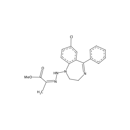 COC(=O)C(C)=NNN1CCN=C(c2ccccc2)c2cc(Cl)ccc21